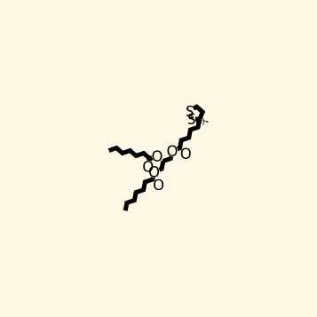 CCCCCCC(=O)OCC(COC(=O)CCCC[C@]1(C)CCSS1)OC(=O)CCCCCC